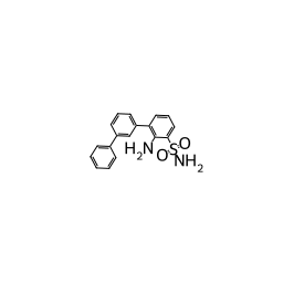 Nc1c(-c2cccc(-c3ccccc3)c2)cccc1S(N)(=O)=O